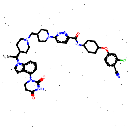 CC(C1CCN(CC2CCN(c3ccc(C(=O)NC4CCC(Oc5ccc(C#N)c(Cl)c5)CC4)nn3)CC2)CC1)n1ccc2c(N3CCC(=O)NC3=O)cccc21